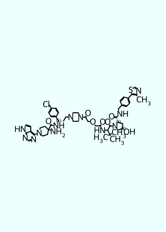 Cc1ncsc1-c1ccc(CNC(=O)[C@@H]2C[C@@H](O)CN2C(=O)C(NC(=O)COCC(=O)N2CCN(CC[C@H](NC(=O)C3(N)CCN(c4ncnc5[nH]ccc45)CC3)c3ccc(Cl)cc3)CC2)C(C)(C)C)cc1